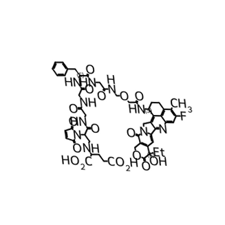 CC[C@@]1(O)C(=O)OCc2c1cc1n(c2=O)Cc2c-1nc1cc(F)c(C)c3c1c2[C@@H](NC(=O)COCNC(=O)CNC(=O)[C@H](Cc1ccccc1)NC(=O)CNC(=O)CNC(=O)C(CNC(CCC(=O)O)C(=O)O)N1C(=O)C=CC1=O)CC3